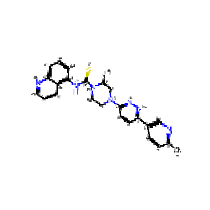 CC(C)C1CN(c2ccc(-c3ccc(C#N)nc3)nn2)CCN1C(=S)Nc1cccc2ncccc12